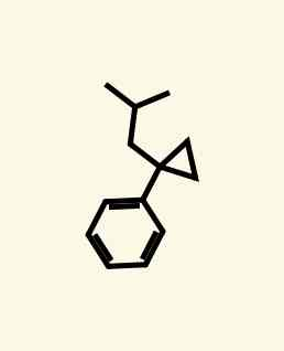 CC(C)CC1(c2ccccc2)CC1